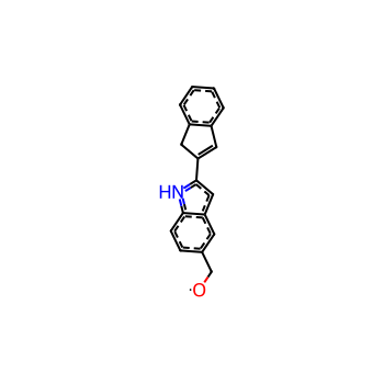 [O]Cc1ccc2[nH]c(C3=Cc4ccccc4C3)cc2c1